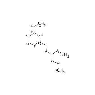 C=CC(CCC)CCc1cccc(CC)c1